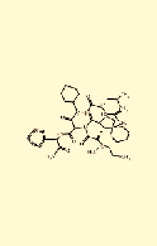 CCC[C@H](N)C(=O)C(=O)N(C(=O)C1CC2(CN1)SCCCS2)C(C(=O)NC(C(N)=O)c1ccccc1)C(=O)[C@@H](NC(=O)[C@H](CC(C)C)NC(C)=O)C1CCCCC1